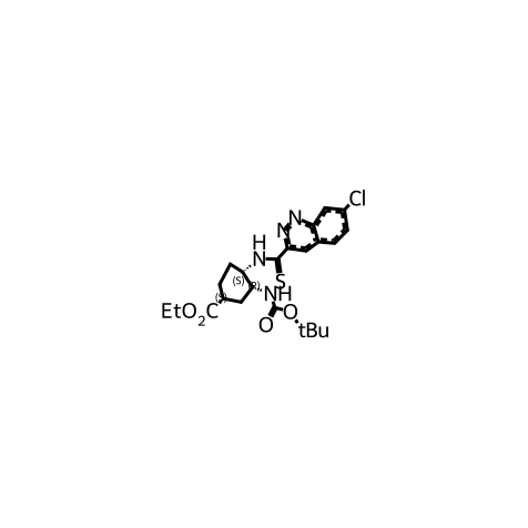 CCOC(=O)[C@H]1CC[C@H](NC(=S)c2cc3ccc(Cl)cc3nn2)[C@H](NC(=O)OC(C)(C)C)C1